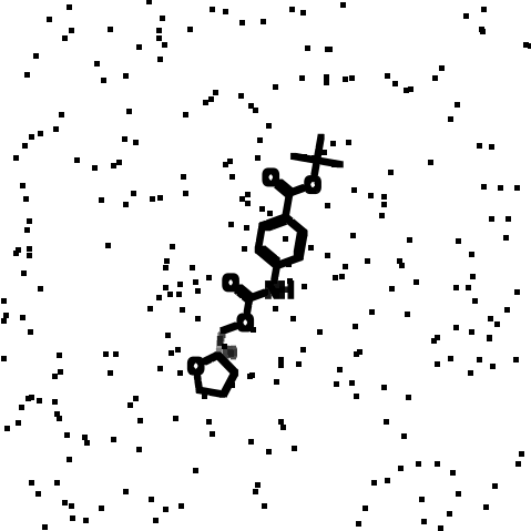 CC(C)(C)OC(=O)c1ccc(NC(=O)OC[C@@H]2CCCO2)cc1